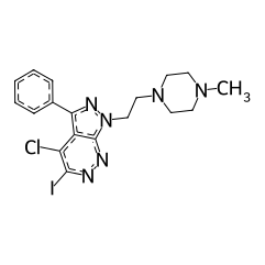 CN1CCN(CCn2nc(-c3ccccc3)c3c(Cl)c(I)nnc32)CC1